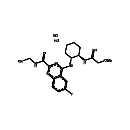 COCC(=N)N[C@@H]1CCCC[C@@H]1Nc1nc(C(=O)NCC(C)(C)C)nc2ccc(F)cc12.Cl.Cl